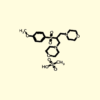 COc1ccc(S(=O)(=O)C(CN2CCOCC2)CN2CCOCC2)cc1.CS(=O)(=O)O